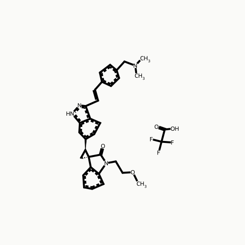 COCCN1C(=O)[C@@]2(C[C@H]2c2ccc3c(/C=C/c4ccc(CN(C)C)cc4)n[nH]c3c2)c2ccccc21.O=C(O)C(F)(F)F